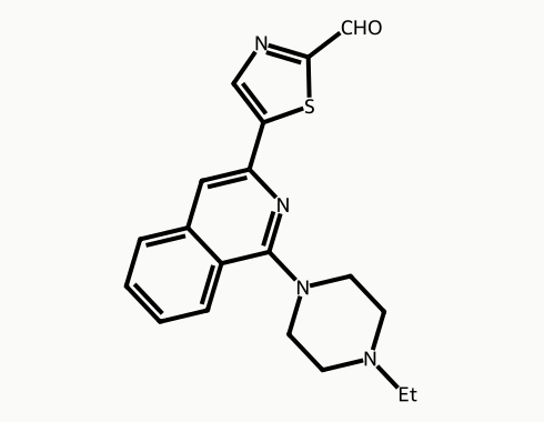 CCN1CCN(c2nc(-c3cnc(C=O)s3)cc3ccccc23)CC1